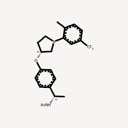 CC(=O)N[C@@H](C)c1ccc(O[C@@H]2CCN(c3cc(C(F)(F)F)ccc3C)C2)cc1